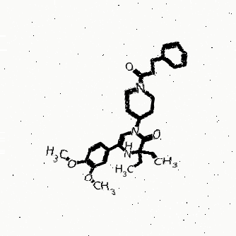 CCC1(CC)NC(c2ccc(OC)c(OC)c2)=CN(C2CCN(C(=O)[CH]Cc3ccccc3)CC2)C1=O